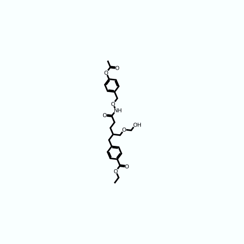 CCOC(=O)c1ccc(CC(CCC(=O)NOCc2ccc(OC(C)=O)cc2)COCO)cc1